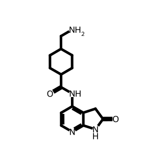 NCC1CCC(C(=O)Nc2ccnc3c2CC(=O)N3)CC1